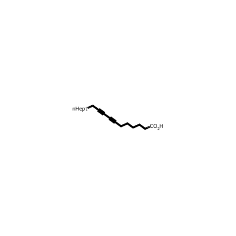 CCCCCCCCC#CC#CCCCCCC(=O)O